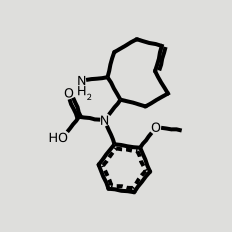 COc1ccccc1N(C(=O)O)C1CC/C=C/CCC1N